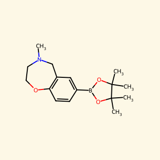 CN1CCOc2ccc(B3OC(C)(C)C(C)(C)O3)cc2C1